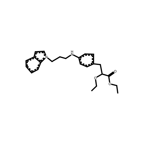 CCOC(=O)C(Cc1ccc(NCCCn2ccc3ccccc32)cc1)OCC